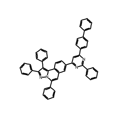 c1ccc(-c2ccc(-c3cc(-c4ccc5c(c4)cc(-c4ccccc4)n4nc(-c6ccccc6)c(-c6ccccc6)c54)nc(-c4ccccc4)n3)cc2)cc1